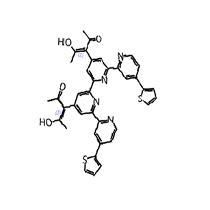 CC(=O)/C(=C(/C)O)c1cc(-c2cc(-c3cccs3)ccn2)nc(-c2cc(/C(C(C)=O)=C(\C)O)cc(-c3cc(-c4cccs4)ccn3)n2)c1